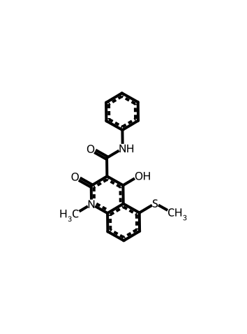 CSc1cccc2c1c(O)c(C(=O)Nc1ccccc1)c(=O)n2C